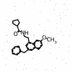 COc1ccc2cc(Cc3ccccc3)cc(CCNC(=O)C3CCCC3)c2c1